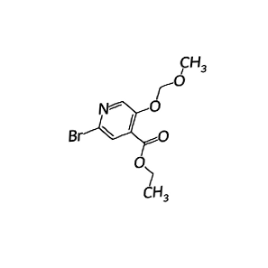 CCOC(=O)c1cc(Br)ncc1OCOC